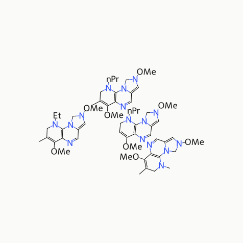 CCCN1CC(C)=C(OC)C2=C1N1CN(OC)C=C1C=N2.CCCN1CC=C(OC)C2=C1N1CN(OC)C=C1C=N2.CCN1CC(C)=C(OC)C2=C1N1CN(OC)C=C1C=N2.COC1=C(C)CN(C)C2=C1N=CC1=CN(OC)CN12